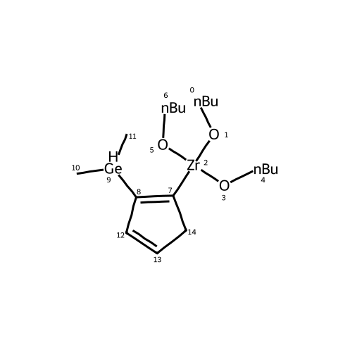 CCCC[O][Zr]([O]CCCC)([O]CCCC)[C]1=[C]([GeH]([CH3])[CH3])C=CC1